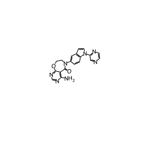 Nc1ncnc2c1C(=O)N(c1ccc3c(ccn3-c3cnccn3)c1)CCO2